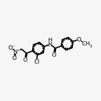 COc1ccc(C(=O)Nc2ccc(C(=O)C[N+](=O)[O-])c(Cl)c2)cc1